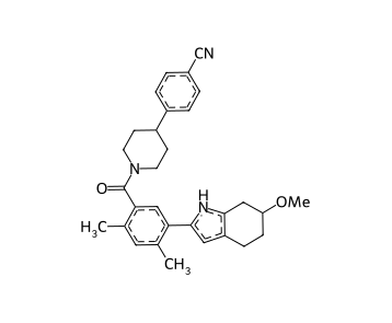 COC1CCc2cc(-c3cc(C(=O)N4CCC(c5ccc(C#N)cc5)CC4)c(C)cc3C)[nH]c2C1